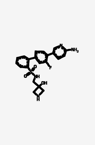 Nc1ccc(-c2ccc(-c3ccccc3S(=O)(=O)NCC3(O)CNC3)cc2F)cn1